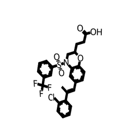 CC(=Cc1ccc2c(c1)N(S(=O)(=O)c1cccc(C(F)(F)F)c1)CC(CCC(=O)O)O2)c1ccccc1Cl